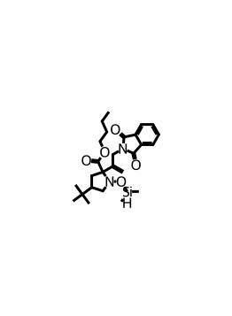 C=C(CN1C(=O)c2ccccc2C1=O)C1(C(=O)OCCCC)CC(C(C)(C)C)CN1O[SiH](C)C